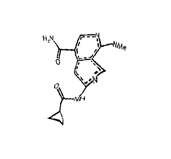 CNc1ncc(C(N)=O)c2cc(NC(=O)C3CC3)ncc12